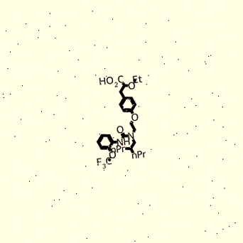 CCCC(CCC)CN(CCOc1ccc(CC(OCC)C(=O)O)cc1)C(=O)Nc1ccccc1OC(F)(F)F